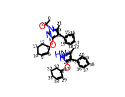 CC(=O)n1nc(OC2C=CCCC2)c(-c2ccccc2)c1C.Cc1[nH]nc(OC2C=CCCC2)c1-c1ccccc1